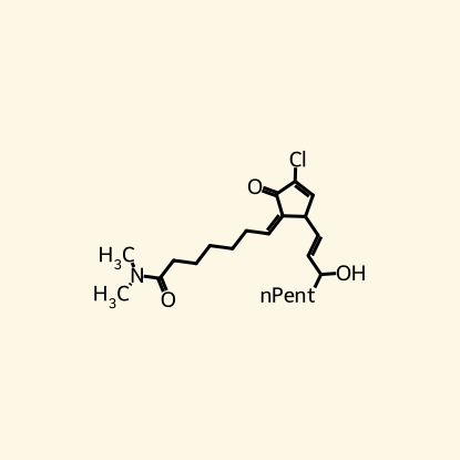 CCCCCC(O)C=CC1C=C(Cl)C(=O)C1=CCCCCCC(=O)N(C)C